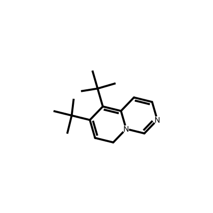 CC(C)(C)C1=CCN2C=NC=CC2=C1C(C)(C)C